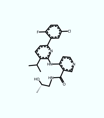 CC(C)c1ccc(-c2cc(Cl)ccc2F)nc1Nc1ccncc1C(=O)NC[C@H](C)O